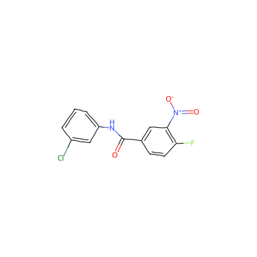 O=C(Nc1cccc(Cl)c1)c1ccc(F)c([N+](=O)[O-])c1